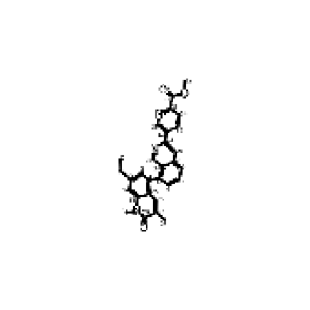 CCc1cc(-c2cccc3cc(-c4ccc(C(=O)OC)nc4)ncc23)c2cc(C)c(=O)n(C)c2c1